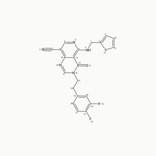 N#Cc1cnc(NCc2cccs2)c2c(=O)n(CCc3ccc(F)c(F)c3)cnc12